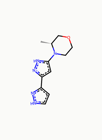 C[C@@H]1COCCN1c1cc(-c2cc[nH]n2)n[nH]1